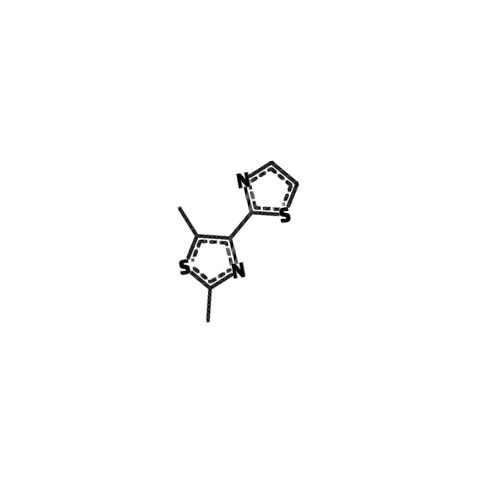 Cc1nc(-c2nccs2)c(C)s1